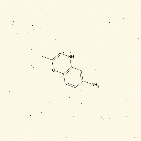 CC1=CNc2cc(N)ccc2O1